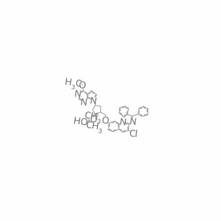 COc1ncnc2c1ccn2C1CC(COc2ccc3cc(Cl)c(N=C(c4ccccc4)c4ccccc4)nc3c2)[C@@H](OC(C)(C)O)C1